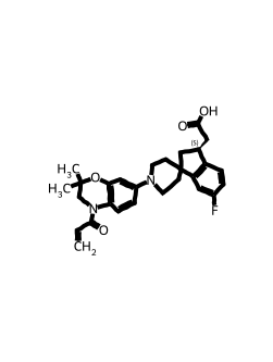 C=CC(=O)N1CC(C)(C)Oc2cc(N3CCC4(CC3)C[C@@H](CC(=O)O)c3ccc(F)cc34)ccc21